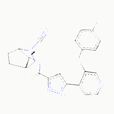 N#CN1CC2CCC1[C@@H]2NC(=O)c1cc(-c2ccncc2Sc2ccc(F)cc2)[nH]n1